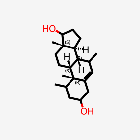 CC1C=C2CC(O)CC(C)[C@]2(C)[C@@H]2CC[C@]3(C)C(O)CC[C@H]3[C@H]12